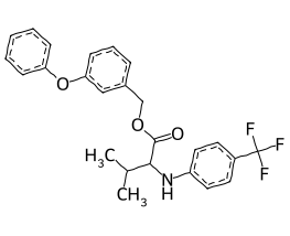 CC(C)C(Nc1ccc(C(F)(F)F)cc1)C(=O)OCc1cccc(Oc2ccccc2)c1